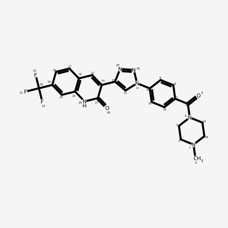 CN1CCN(C(=O)c2ccc(-n3cc(-c4cc5ccc(C(F)(F)F)cc5[nH]c4=O)nn3)cc2)CC1